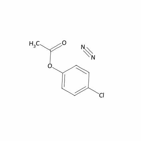 CC(=O)Oc1ccc(Cl)cc1.N#N